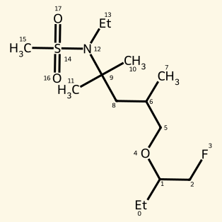 CCC(CF)OCC(C)CC(C)(C)N(CC)S(C)(=O)=O